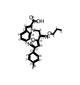 CCCO/N=C(\Cn1c(C(=O)O)cc2ccccc21)c1cc(-c2ccc(F)cc2)no1